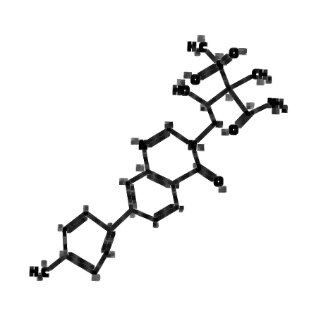 Cc1ccc(-c2ccc3c(=O)n(CC(O)C(C)(C(N)=O)S(C)(=O)=O)cnc3c2)cc1